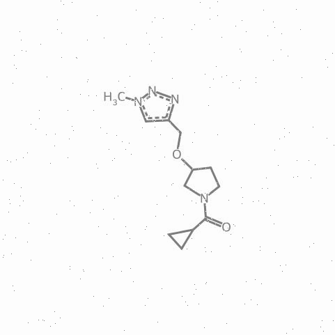 Cn1cc(COC2CCN(C(=O)C3CC3)C2)nn1